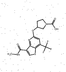 CNC(=O)c1csc2c(C(F)(F)F)cc(OC3CCN(C(=O)O)C3)nc12